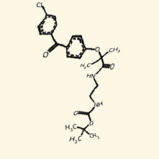 CC(C)(C)OC(=O)NCCNC(=O)C(C)(C)Oc1ccc(C(=O)c2ccc(Cl)cc2)cc1